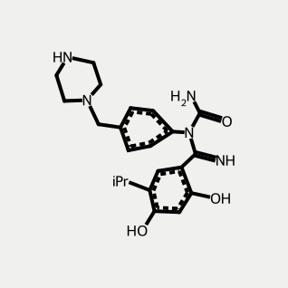 CC(C)c1cc(C(=N)N(C(N)=O)c2ccc(CN3CCNCC3)cc2)c(O)cc1O